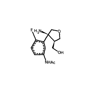 CC(=O)Nc1ccc(F)c([C@]2(N)COC[C@H]2CO)c1